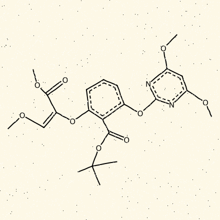 CO/C=C(/Oc1cccc(Oc2nc(OC)cc(OC)n2)c1C(=O)OC(C)(C)C)C(=O)OC